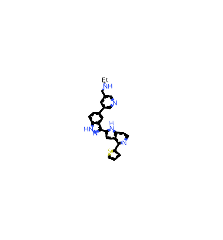 CCNCc1cncc(-c2ccc3[nH]nc(-c4cc5c(-c6cccs6)nccc5[nH]4)c3c2)c1